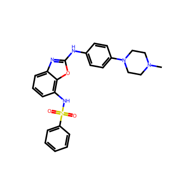 CN1CCN(c2ccc(Nc3nc4cccc(NS(=O)(=O)c5ccccc5)c4o3)cc2)CC1